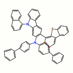 c1ccc(-c2ccc(N(c3ccc(-c4ccccc4)cc3)c3cc4c(cc3-c3cccc5c3sc3ccccc35)c3ccccc3n4-c3cccc4ccccc34)cc2)cc1